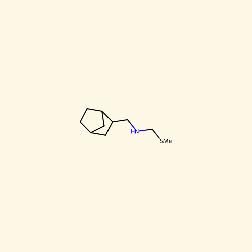 CSCNCC1CC2CCC1C2